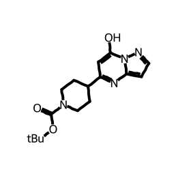 CC(C)(C)OC(=O)N1CCC(c2cc(O)n3nccc3n2)CC1